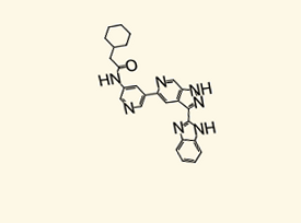 O=C(CC1CCCCC1)Nc1cncc(-c2cc3c(-c4nc5ccccc5[nH]4)n[nH]c3cn2)c1